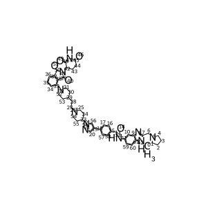 C[C@H]1CCCN1Cc1nc2cc(NC(=O)c3ccc(-c4cnn(C5CCN(CCC6CCN(c7cccc8c7C(=O)N(C7CCC(=O)NC7=O)C8=O)CC6)CC5)c4)cc3)ccc2[nH]1